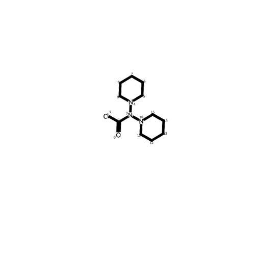 O=C(Cl)N(N1CCCCC1)N1CCCCC1